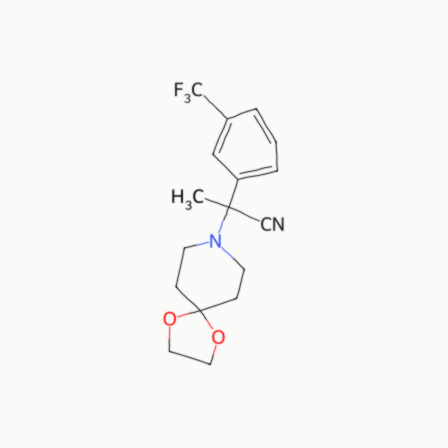 CC(C#N)(c1cccc(C(F)(F)F)c1)N1CCC2(CC1)OCCO2